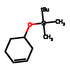 CC(C)(C)[Si](C)(C)OC1CC=CCC1